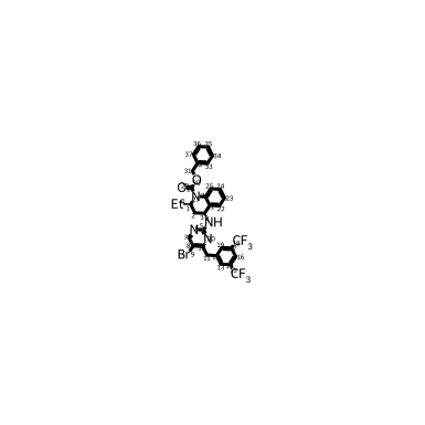 CC[C@@H]1C[C@H](Nc2ncc(Br)c(Cc3cc(C(F)(F)F)cc(C(F)(F)F)c3)n2)c2ccccc2N1C(=O)OCc1ccccc1